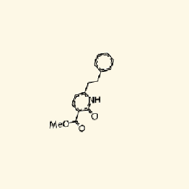 COC(=O)c1ccc(CCc2ccccc2)[nH]c1=O